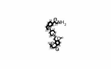 COc1ccc2c(c1CCN1CCC(n3ccc4ccc(C(=O)CN)cc43)CC1)OC(C)(C)CC2=O